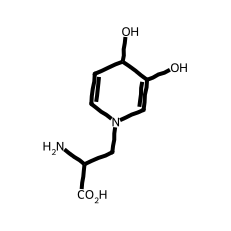 NC(CN1C=CC(O)C(O)=C1)C(=O)O